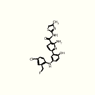 Cc1csc(NC(=O)c2ccc(-c3cc(Nc4ccc(Cl)cc4CF)ccc3O)nc2N)n1